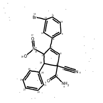 N#CC1(C(N)=O)C=C(c2cccc(Br)c2)C([N+](=O)[O-])C1c1ccccc1